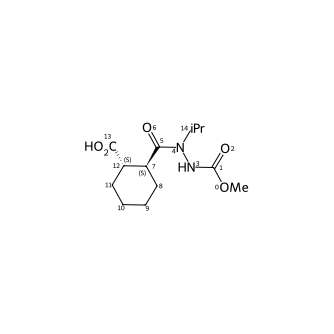 COC(=O)NN(C(=O)[C@H]1CCCC[C@@H]1C(=O)O)C(C)C